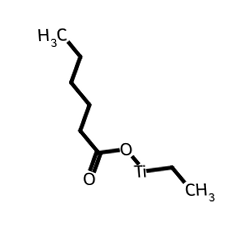 CCCCCC(=O)[O][Ti][CH2]C